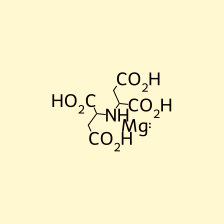 O=C(O)CC(NC(CC(=O)O)C(=O)O)C(=O)O.[Mg]